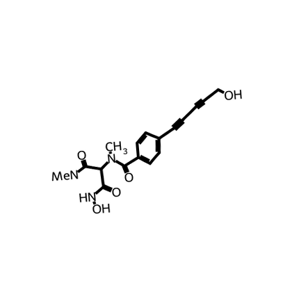 CNC(=O)C(C(=O)NO)N(C)C(=O)c1ccc(C#CC#CCO)cc1